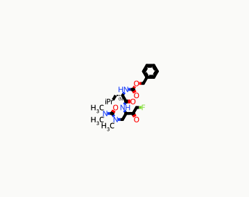 CC(C)C[C@H](NC(=O)OCc1ccccc1)C(=O)NC(CN(C)C(=O)N(C)C)C(=O)CF